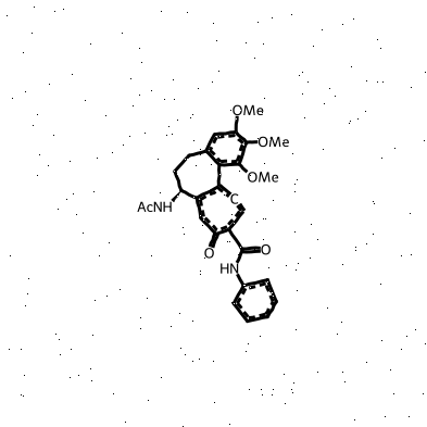 COc1cc2c(c(OC)c1OC)-c1ccc(C(=O)Nc3ccccc3)c(=O)cc1[C@@H](NC(C)=O)CC2